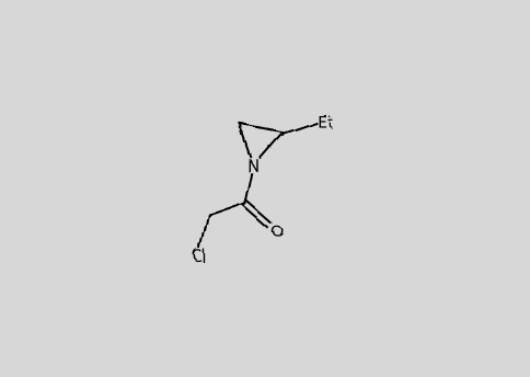 CCC1CN1C(=O)CCl